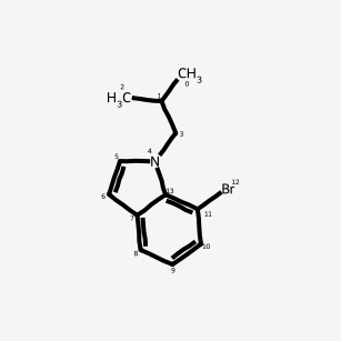 CC(C)Cn1ccc2cccc(Br)c21